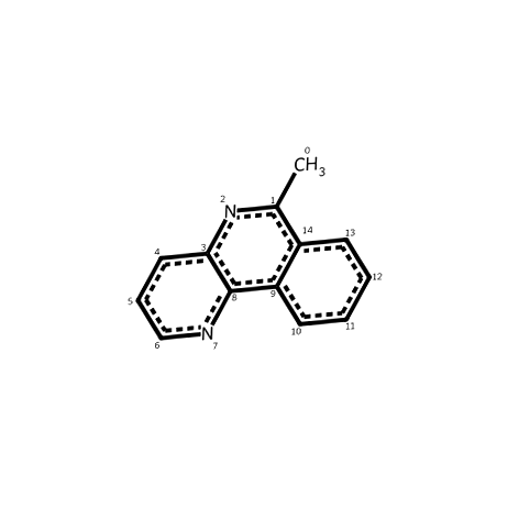 Cc1nc2cccnc2c2ccccc12